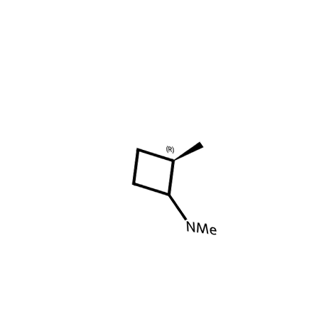 CNC1CC[C@H]1C